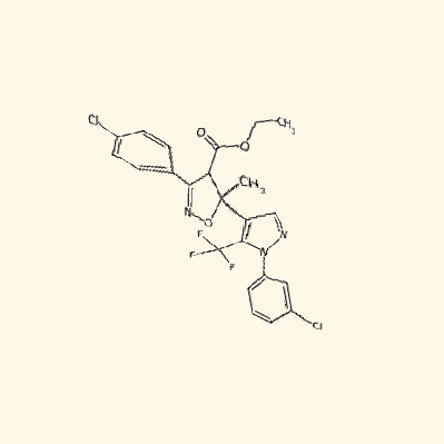 CCOC(=O)C1C(c2ccc(Cl)cc2)=NOC1(C)c1cnn(-c2cccc(Cl)c2)c1C(F)(F)F